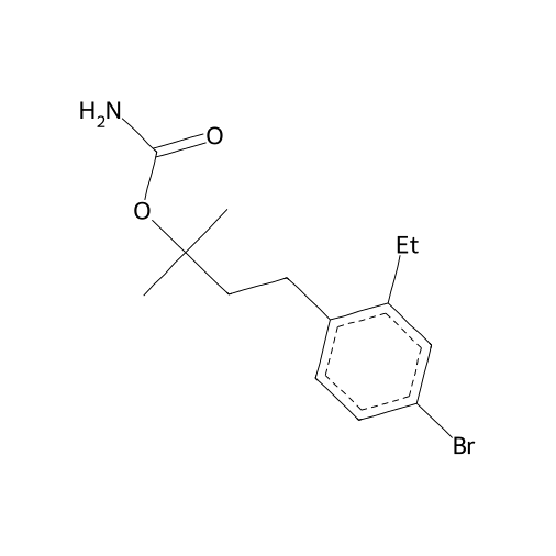 CCc1cc(Br)ccc1CCC(C)(C)OC(N)=O